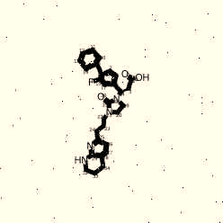 O=C(O)C[C@H](c1ccc(-c2ccccc2)c(F)c1)N1CCN(CCCc2ccc3c(n2)NCCC3)C1=O